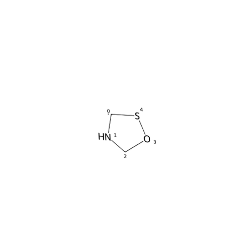 [CH]1NCOS1